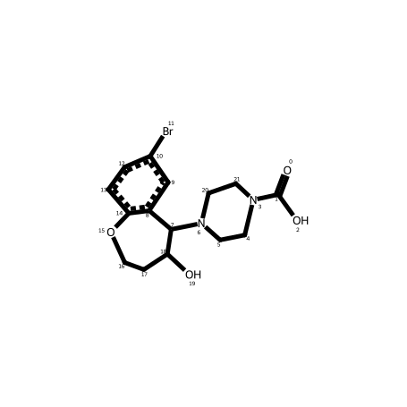 O=C(O)N1CCN(C2c3cc(Br)ccc3OCCC2O)CC1